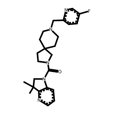 CC1(C)CN(C(=O)N2CCC3(CCN(Cc4ccc(F)cn4)CC3)C2)c2cccnc21